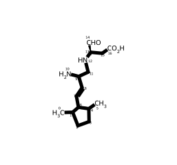 CC1CCC(C)C1C=CC(N)CN[C@@H](C=O)CC(=O)O